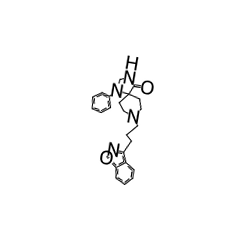 O=C1NCN(c2ccccc2)C12CCN(CCCc1noc3ccccc13)CC2